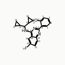 Oc1ccccc1-c1nc(NC(C2CC2)C2CC2)c2cc(F)ccc2n1